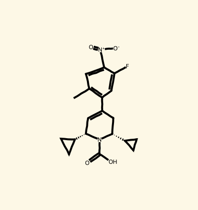 Cc1cc([N+](=O)[O-])c(F)cc1C1=C[C@@H](C2CC2)N(C(=O)O)[C@@H](C2CC2)C1